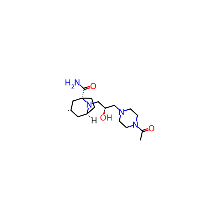 CC(=O)N1CCN(C[C@@H](O)CN2[C@@H]3C[CH]C[C@@]2(C(N)=O)CC3)CC1